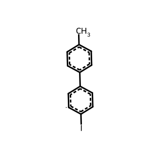 Cc1ccc(-c2c[c]c(I)cc2)cc1